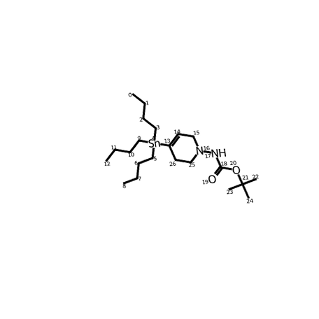 CCC[CH2][Sn]([CH2]CCC)([CH2]CCC)[C]1=CCN(NC(=O)OC(C)(C)C)CC1